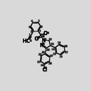 C#Cc1ccccc1S(=O)(=O)N1CC(c2ccccc2)C(c2ccc(Cl)cc2)=N1